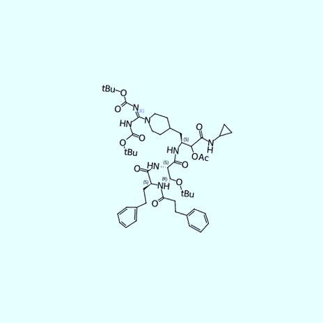 CC(=O)OC(C(=O)NC1CC1)[C@H](CC1CCN(/C(=N/C(=O)OC(C)(C)C)NC(=O)OC(C)(C)C)CC1)NC(=O)[C@@H](NC(=O)[C@H](CCc1ccccc1)NC(=O)CCc1ccccc1)[C@@H](C)OC(C)(C)C